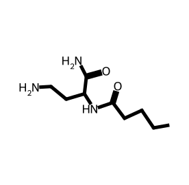 CCCCC(=O)NC(CCN)C(N)=O